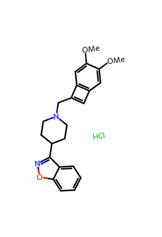 COc1cc2c(cc1OC)C(CN1CCC(c3noc4ccccc34)CC1)=C2.Cl